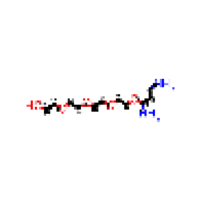 NCCC(N)OCCOCCOCCOCCO